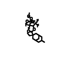 CCC1(C(=O)OC(C(F)(F)F)C(F)(F)S(=O)(=O)OOC)CC2CC(C)CC(C2)C1